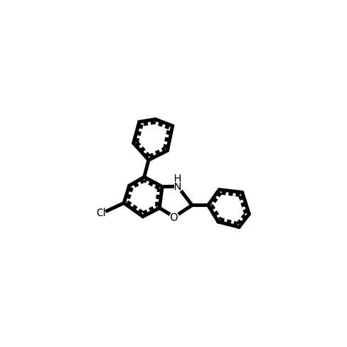 Clc1cc2c(c(-c3ccccc3)c1)NC(c1ccccc1)O2